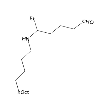 CCCCCCCCCCCCNC(CC)CCCC=O